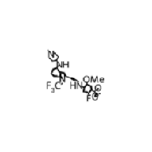 COc1cc(S(C)(=O)=O)c(F)cc1NCC#Cc1cc2c(NC3CCN(C)CC3)cccc2n1CC(F)(F)F